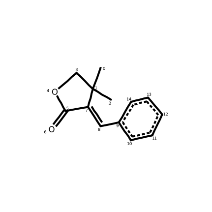 CC1(C)COC(=O)/C1=C/c1ccccc1